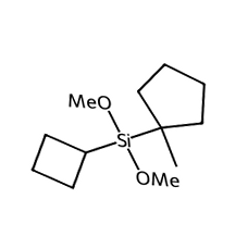 CO[Si](OC)(C1CCC1)C1(C)CCCC1